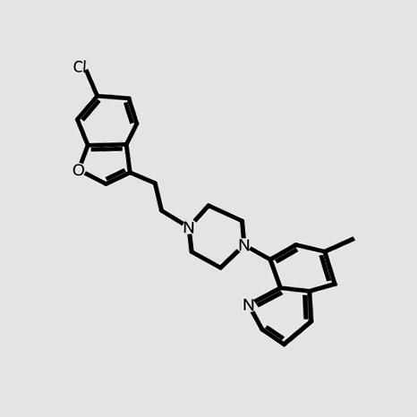 Cc1cc(N2CCN(CCc3coc4cc(Cl)ccc34)CC2)c2ncccc2c1